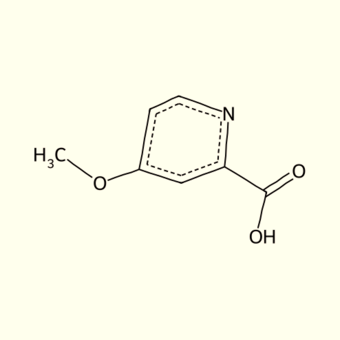 COc1ccnc(C(=O)O)c1